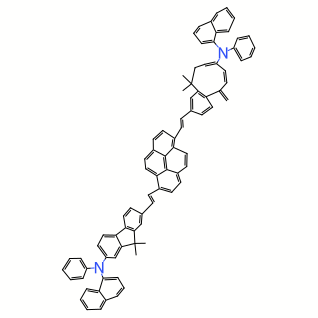 C=C1/C=C\C(N(c2ccccc2)c2cccc3ccccc23)=C/CC(C)(C)c2cc(/C=C/c3ccc4ccc5c(/C=C/c6ccc7c(c6)C(C)(C)c6cc(N(c8ccccc8)c8cccc9ccccc89)ccc6-7)ccc6ccc3c4c65)ccc21